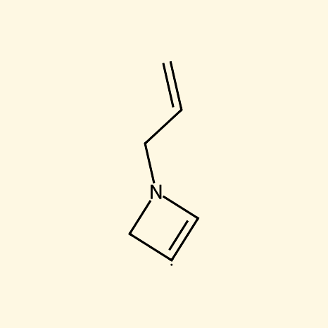 C=CCN1C=[C]C1